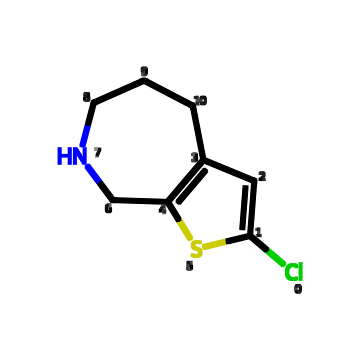 Clc1cc2c(s1)CNCCC2